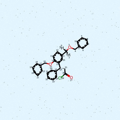 [2H]C([2H])(OCc1ccccc1)c1ccc(OCc2ccccc2)c([C@H](CC(=O)Cl)c2ccccc2)c1